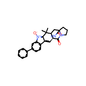 CC1(C)C2=[N+]([O-])c3cc(-c4ccccc4)ccc3C2=C[C@@]23NC(=O)C4(CCCN4C2=O)CC13